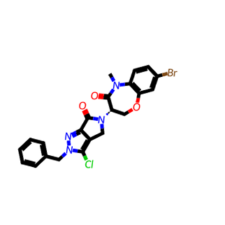 CN1C(=O)[C@@H](N2Cc3c(nn(Cc4ccccc4)c3Cl)C2=O)COc2cc(Br)ccc21